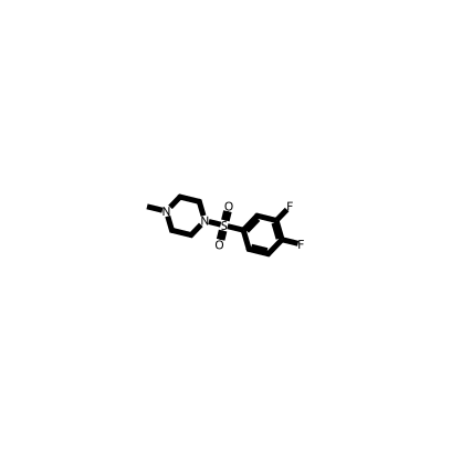 CN1CCN(S(=O)(=O)c2ccc(F)c(F)c2)CC1